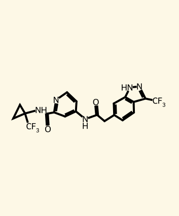 O=C(Cc1ccc2c(C(F)(F)F)n[nH]c2c1)Nc1ccnc(C(=O)NC2(C(F)(F)F)CC2)c1